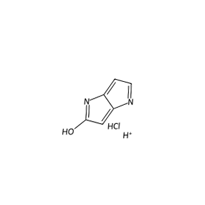 Cl.OC1=NC2=CC=NC2=C1.[H+]